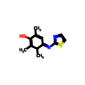 CC1=CC(=Nc2nccs2)C(C)C(C)=C1O